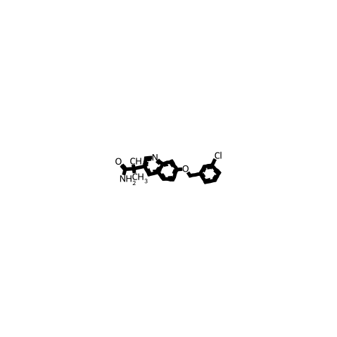 CC(C)(C(N)=O)c1cnc2cc(OCc3cccc(Cl)c3)ccc2c1